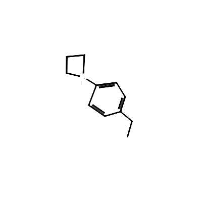 [O]Cc1ccc([SiH]2CCC2)cc1